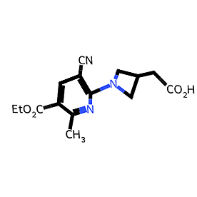 CCOC(=O)c1cc(C#N)c(N2CC(CC(=O)O)C2)nc1C